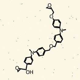 CN(c1ccc(COCc2ccc(N(C)c3ccc(C(O)C4CO4)cc3)cc2)cc1)c1ccc(OCC2CO2)cc1